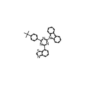 CC(C)(C)c1ccc(-c2nc(-c3cccc4ncsc34)nc(-n3c4ccccc4c4ccccc43)n2)cc1